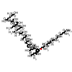 CC(C)C[C@H](N)C(=O)O.CC(C)[C@H](N)C(=O)O.CC[C@H](C)[C@H](N)C(=O)O.CSCC[C@H](N)C(=O)O.C[C@@H](O)[C@H](N)C(=O)O.C[C@H](N)C(=O)O.N.N=C(N)NCCC[C@H](N)C(=O)O.NCC(=O)O.NCCCC[C@H](N)C(=O)O.N[C@@H](CCC(=O)O)C(=O)O.N[C@@H](CO)C(=O)O.N[C@@H](CSSC[C@H](N)C(=O)O)C(=O)O.N[C@@H](Cc1c[nH]c2ccccc12)C(=O)O.N[C@@H](Cc1c[nH]cn1)C(=O)O.O=C(O)[C@@H]1CCCN1